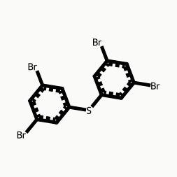 Brc1cc(Br)cc(Sc2cc(Br)cc(Br)c2)c1